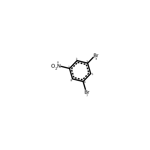 O=[N+]([O-])c1[c]c(Br)cc(Br)c1